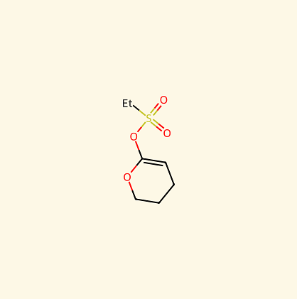 CCS(=O)(=O)OC1=CCCCO1